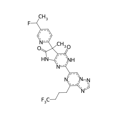 CC(F)c1ccc(C2(C)C(=O)Nc3nc(-c4cn5ncnc5c(CCCC(F)(F)F)n4)[nH]c(=O)c32)nc1